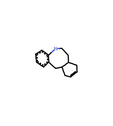 C1=CCC2Cc3ccccc3[N]CCC2C1